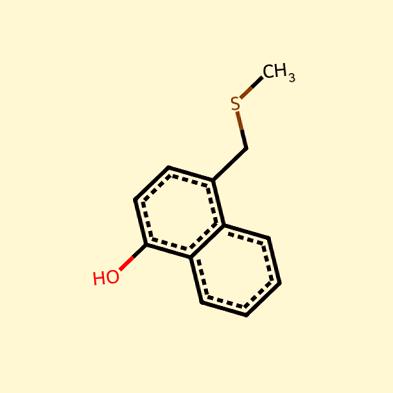 CSCc1ccc(O)c2ccccc12